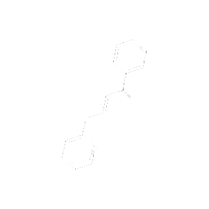 O=C(/C=C/Sc1ccccn1)c1ccccc1